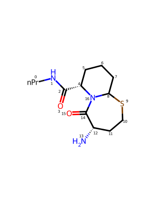 CCCNC(=O)[C@@H]1CCCC2SCC[C@H](N)C(=O)N21